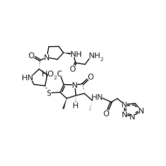 C[C@@H](NC(=O)Cn1cnnn1)[C@H]1C(=O)N2C(C(=O)O)=C(S[C@@H]3CN[C@H](C(=O)N4CC[C@@H](NC(=O)CN)C4)C3)[C@H](C)[C@H]12